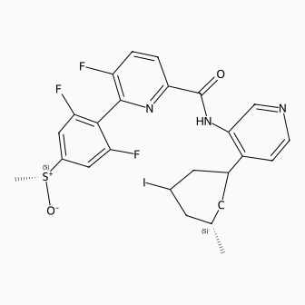 C[C@@H]1CC(I)CC(c2ccncc2NC(=O)c2ccc(F)c(-c3c(F)cc([S@@+](C)[O-])cc3F)n2)C1